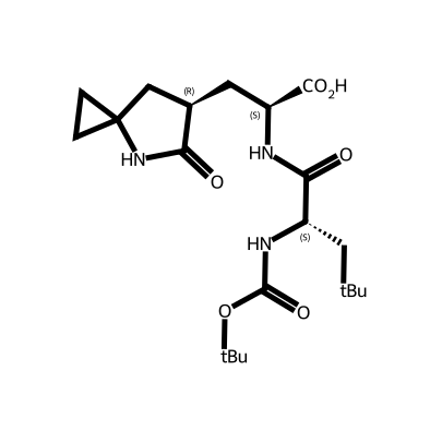 CC(C)(C)C[C@H](NC(=O)OC(C)(C)C)C(=O)N[C@@H](C[C@@H]1CC2(CC2)NC1=O)C(=O)O